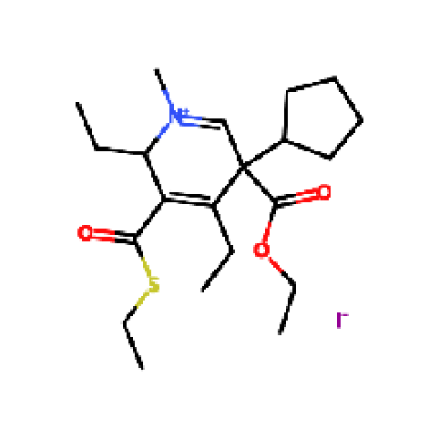 CCOC(=O)C1(C2CCCC2)C=[N+](C)C(CC)C(C(=O)SCC)=C1CC.[I-]